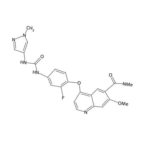 CNC(=O)c1cc2c(Oc3ccc(NC(=O)Nc4cnn(C)c4)cc3F)ccnc2cc1OC